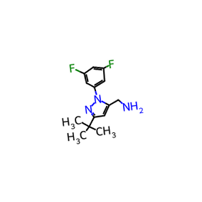 CC(C)(C)c1cc(CN)n(-c2cc(F)cc(F)c2)n1